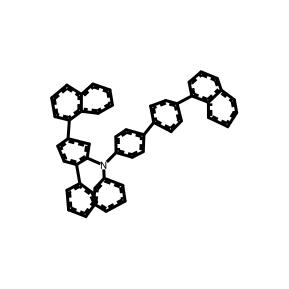 c1ccc(-c2ccc(-c3cccc4ccccc34)cc2N(c2ccccc2)c2ccc(-c3ccc(-c4cccc5ccccc45)cc3)cc2)cc1